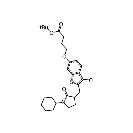 CC(C)(C)OC(=O)CCCOc1ccc2c(Cl)c(CC3CCN(C4CCCCC4)C3=O)sc2c1